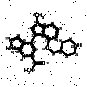 Cn1cc(-c2cc(C(N)=O)nc3[nH]ncc23)c2c(OCC3CCNCC3)cccc21